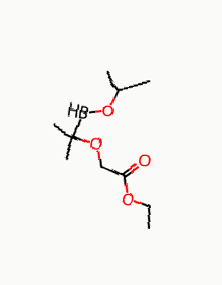 CCOC(=O)COC(C)(C)BOC(C)C